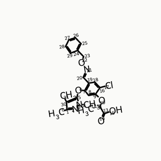 Cc1nn(C)c(Oc2cc(O[C@@H](C)C(=O)O)c(Cl)cc2/C=N/OCc2ccccc2)c1C